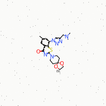 Cc1cc(-n2cc(CN(C)C)nn2)c2sc(N3CCC4(CC3)OC[C@H](C)O4)nc(=O)c2c1